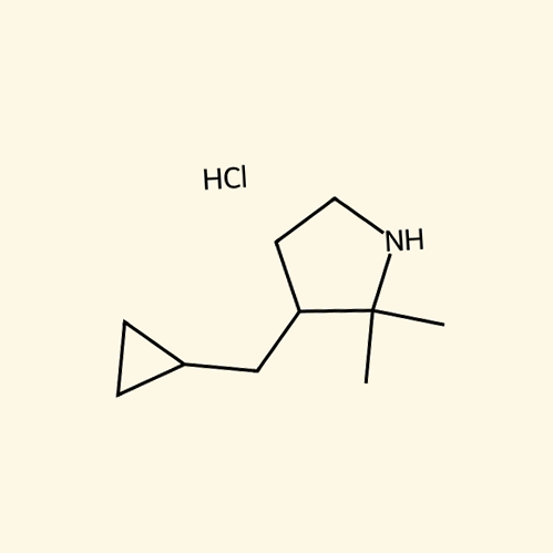 CC1(C)NCCC1CC1CC1.Cl